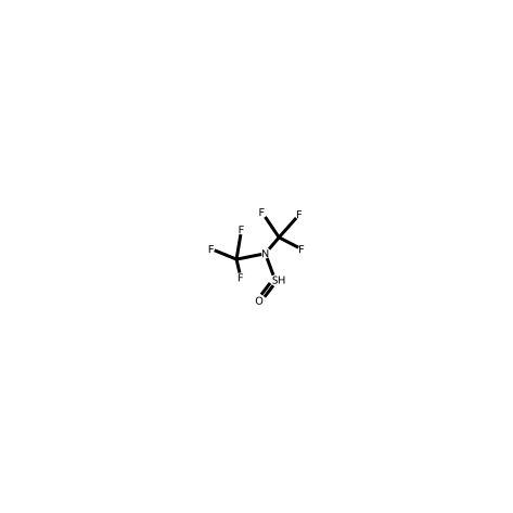 O=[SH]N(C(F)(F)F)C(F)(F)F